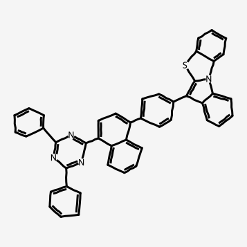 c1ccc(-c2nc(-c3ccccc3)nc(-c3ccc(-c4ccc(-c5c6ccccc6n6c5sc5ccccc56)cc4)c4ccccc34)n2)cc1